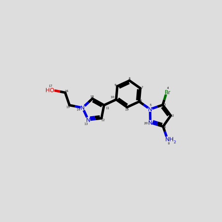 Nc1cc(Br)n(-c2cccc(-c3cnn(CCO)c3)c2)n1